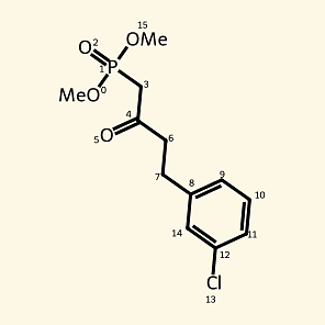 COP(=O)(CC(=O)CCc1cccc(Cl)c1)OC